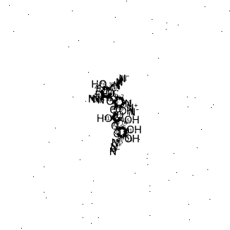 C[C@H]1CC(N=[N+]=[N-])[C@H](O)[C@@H](O[C@@H]2O[C@H](CO)[C@@H](O[C@@H]3C[C@@H](O)[C@H](O)[C@H](CN=[N+]=[N-])O3)[C@H]2O)[C@@H]1O[C@H]1O[C@H](CN=[N+]=[N-])[C@@H](O)C(F)(F)C1N=[N+]=[N-]